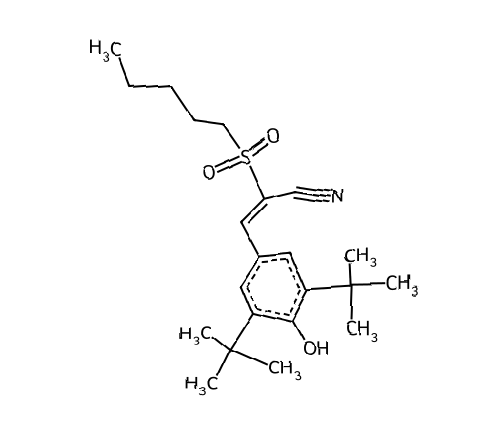 CCCCCS(=O)(=O)/C(C#N)=C/c1cc(C(C)(C)C)c(O)c(C(C)(C)C)c1